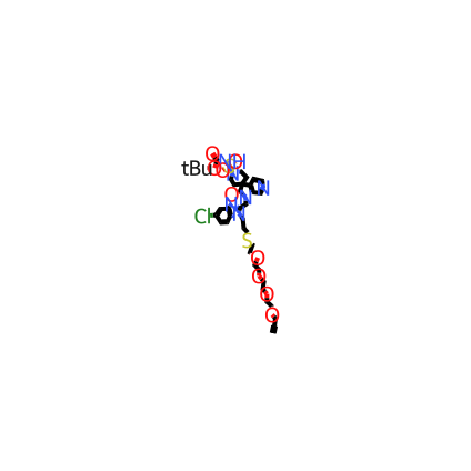 C#CCOCCOCCOCCOCCSCCCn1c(CN2C(=O)C3(CCN(S(=O)(=O)NC(=O)OC(C)(C)C)CC3)c3ccncc32)nc2cc(Cl)ccc21